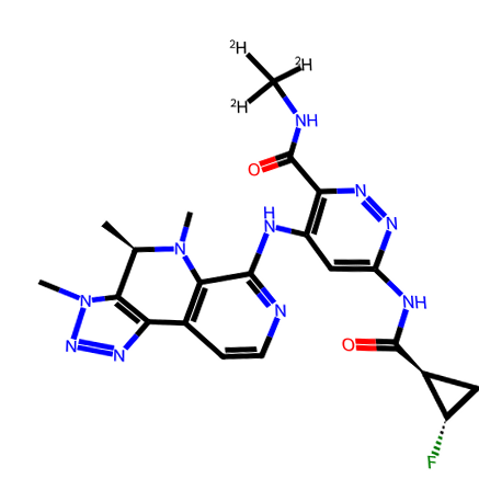 [2H]C([2H])([2H])NC(=O)c1nnc(NC(=O)[C@H]2C[C@@H]2F)cc1Nc1nccc2c1N(C)[C@H](C)c1c-2nnn1C